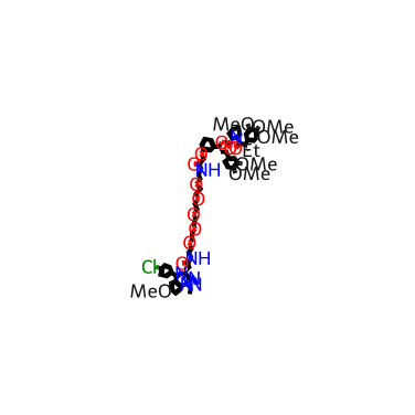 CC[C@H](C(=O)N1CCCC[C@H]1C(=O)O[C@H](CCc1ccc(OC)c(OC)c1)c1cccc(OCC(=O)NCCOCCOCCOCCOCCOCCNC(=O)C[C@@H]2N=C(c3ccc(Cl)cc3)c3cc(OC)ccc3-n3c(C)nnc32)c1)c1cc(OC)c(OC)c(OC)c1